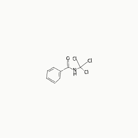 O=C(NC(Cl)(Cl)Cl)c1ccccc1